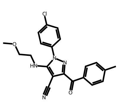 COCCNc1c(C#N)c(C(=O)c2ccc(C)cc2)nn1-c1ccc(Cl)cc1